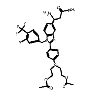 CC(=O)OCCN(CCOC(C)=O)c1ccc(-c2nc3cc(C(N)CC(N)=O)ccc3n2Cc2ccc(C(F)(F)F)c(F)c2)cc1